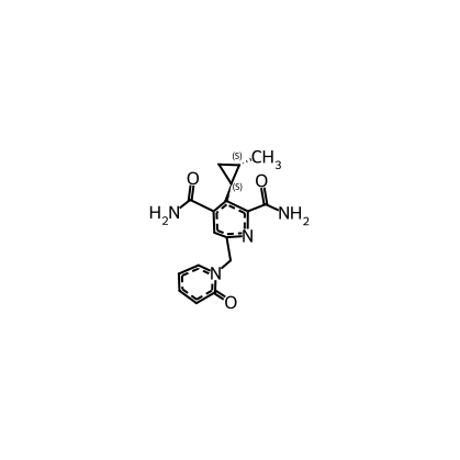 C[C@H]1C[C@@H]1c1c(C(N)=O)cc(Cn2ccccc2=O)nc1C(N)=O